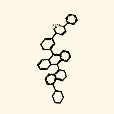 C1=CC2C(C3=CC(C4C=CC(c5ccccc5)NC4)=CCC3)=c3ccccc3=C(C3=c4cccc(C5CCCCC5)c4=CCC3)C2C=C1